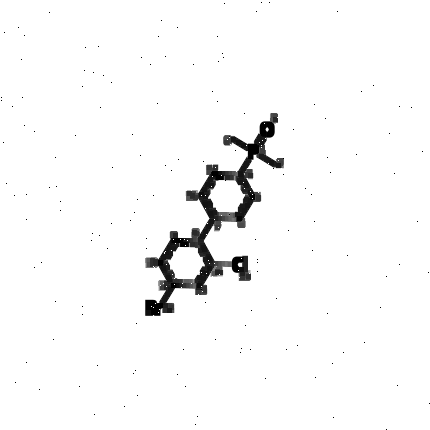 CP(C)(=O)c1ccc(-c2ccc(Br)cc2Cl)cc1